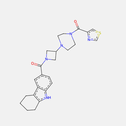 O=C(c1ccc2[nH]c3c(c2c1)CCCC3)N1CC(N2CCN(C(=O)c3cscn3)CC2)C1